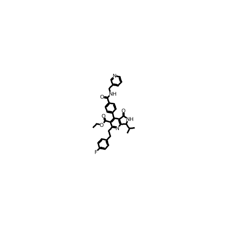 CCOC(=O)c1c(CCc2ccc(F)cc2)nc2c(c1-c1ccc(C(=O)NCc3cccnc3)cc1)C(=O)NC2C(C)C